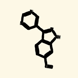 O=Cc1ccc2c(-c3cncnc3)n[nH]c2c1